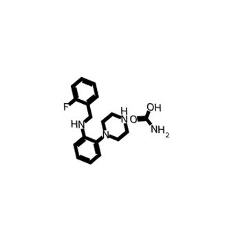 Fc1ccccc1CNc1ccccc1N1CCNCC1.NC(=O)O